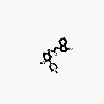 COc1ccc(NC(=O)Cc2ccc(Br)c3ccccc23)cc1N1CCN(C)CC1